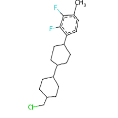 Cc1ccc(C2CCC(C3CCC(CCl)CC3)CC2)c(F)c1F